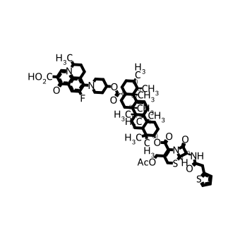 CC(=O)OCC1=C(C(=O)O[C@H]2CC[C@]3(C)C(CC[C@@]4(C)[C@]3(C)CC=C3[C@@]5(C)[C@H](C)[C@H](C)CC[C@]5(C(=O)OC5CCN(c6c(F)cc7c(=O)c(C(=O)O)cn8c7c6CCC8C)CC5)CC[C@]34C)C2(C)C)N2C(=O)[C@@H](NC(=O)Cc3cccs3)[C@H]2SC1